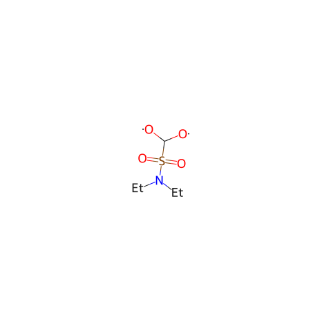 CCN(CC)S(=O)(=O)C([O])[O]